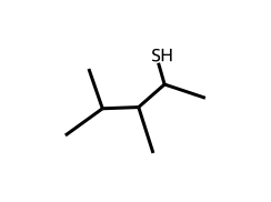 CC(C)C(C)C(C)S